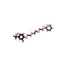 [CH2]c1cc(C(C)(C)CCCCC)ccc1OCCOCCOCCOC1CCCCO1